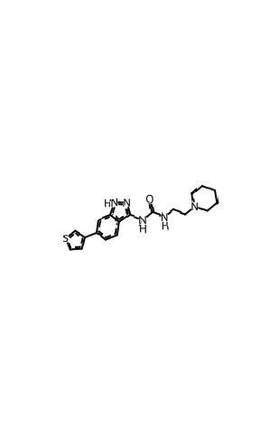 O=C(NCCN1CCCCC1)Nc1n[nH]c2cc(-c3ccsc3)ccc12